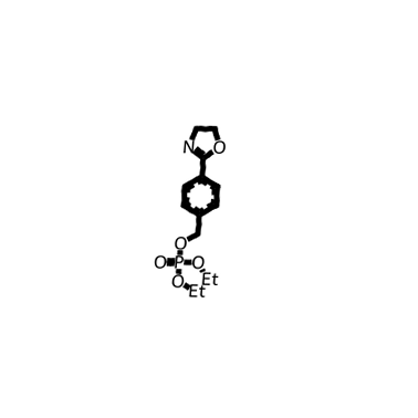 CCOP(=O)(OCC)OCc1ccc(C2=NCCO2)cc1